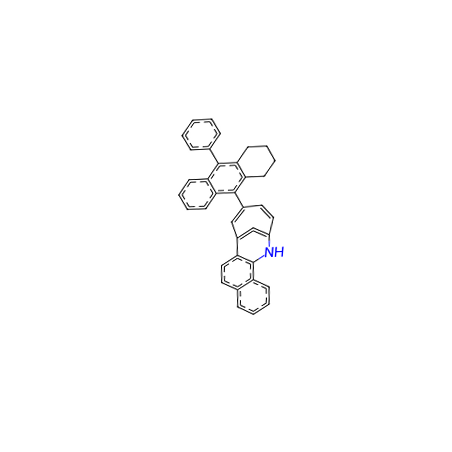 C1=C2C=CC(c3c4c(c(-c5ccccc5)c5ccccc35)CCCC4)=CC=1c1ccc3ccccc3c1N2